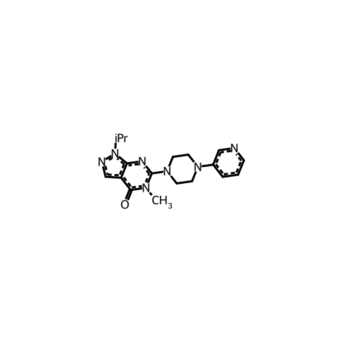 CC(C)n1ncc2c(=O)n(C)c(N3CCN(c4cccnc4)CC3)nc21